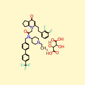 CCN1CCC(N(Cc2ccc(-c3ccc(C(F)(F)F)cc3)cc2)C(=O)Cn2c(CCc3cccc(F)c3F)cc(=O)c3c2CCC3)CC1.O=C(O)C(O)C(O)C(=O)O